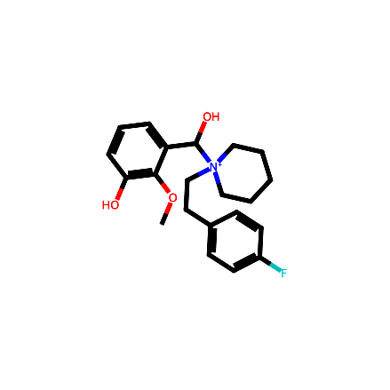 COc1c(O)cccc1C(O)[N+]1(CCc2ccc(F)cc2)CCCCC1